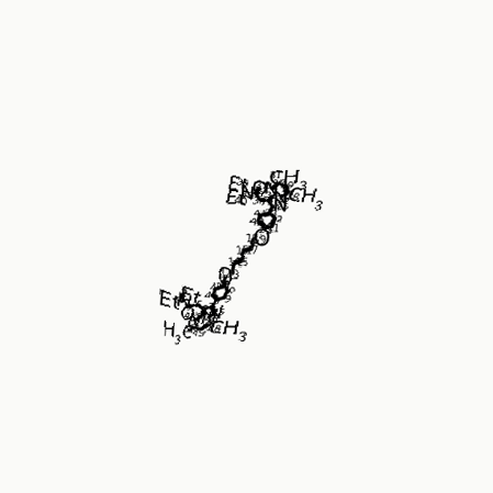 CCN(CC)C(=O)Cc1c(-c2ccc(OCCCCCCOc3ccc(-c4nn5c(C)cc(C)nc5c4CC(=O)N(CC)CC)cc3)cc2)nn2c(C)cc(C)nc12